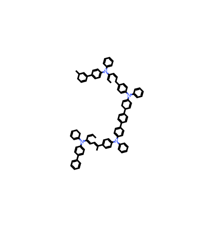 C\C=C/C(=C\C=C(/C)c1ccc(N(c2ccccc2)c2ccc(-c3ccc(C4C=CC(N(c5ccccc5)c5ccc(C/C=C\C(=C/C)N(c6ccccc6)c6ccc(C7=CC(C)CC=C7)cc6)cc5)=CC4)cc3)cc2)cc1)N(C1=CC=CCC1)c1ccc(-c2ccccc2)cc1